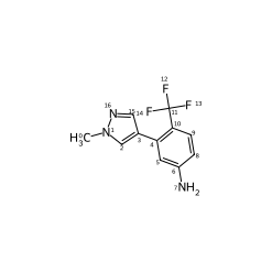 Cn1cc(-c2cc(N)ccc2C(F)(F)F)cn1